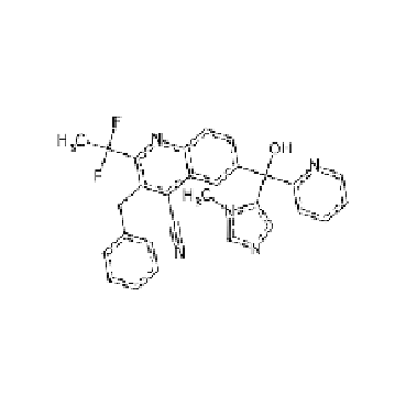 Cn1cncc1C(O)(c1ccc2nc(C(C)(F)F)c(Cc3ccccc3)c(C#N)c2c1)c1ccccn1